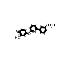 O=C(O)c1cccc(-c2cccc(Oc3ccc(F)c(O)c3)n2)c1